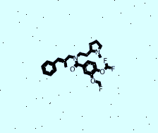 C/C(=C\c1ccccc1)CN(CCC1CCCN1C)C(=O)c1ccc(OC(F)F)c(OCF)c1